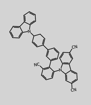 N#Cc1ccc2c(c1)c1ccc(C#N)cc1n2-c1cccc(C#N)c1-c1cccc(C2=CCC(n3c4ccccc4c4ccccc43)C=C2)c1